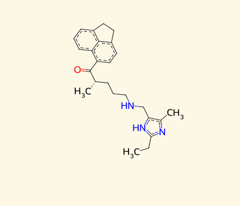 CCc1nc(C)c(CNCCC[C@H](C)C(=O)c2ccc3c4c(cccc24)CC3)[nH]1